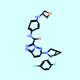 O=C(Nc1ccc(NC2COC2)cc1)c1nnc2ccc(N3CC4CC4[C@@H]3c3cc(F)ccc3F)nn12